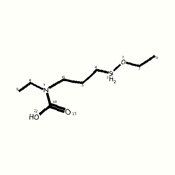 CCO[SiH2]CCCN(CC)C(=O)O